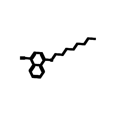 CCCCCCCCOc1ccc(O)c2ccccc12